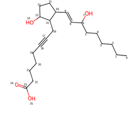 CCCCCCC(O)C=CC1CCC(O)C1CC#CCCCCC(=O)O